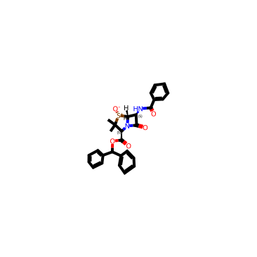 CC1(C)[C@H](C(=O)OC(c2ccccc2)c2ccccc2)N2C(=O)[C@H](NC(=O)c3ccccc3)[C@H]2[S+]1[O-]